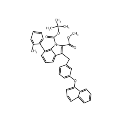 COC(=O)c1c(Cc2cccc(Oc3cccc4ccccc34)c2)c2cccc(-c3ccccc3C)c2n1C(=O)OC(C)(C)C